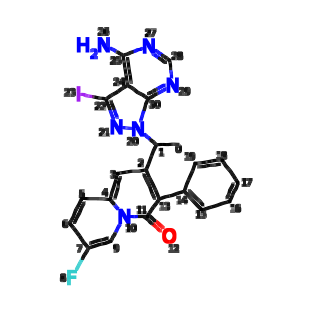 CC(c1cc2ccc(F)cn2c(=O)c1-c1ccccc1)n1nc(I)c2c(N)ncnc21